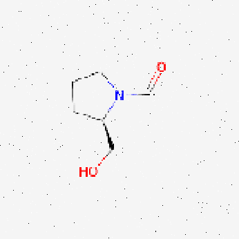 O=[C]N1CCC[C@@H]1CO